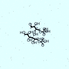 O=C(CO)[C@@H](O)[C@H](O)[C@H](O)COP(=O)(O)O.O=C[C@H](O)[C@H](O)COP(=O)(O)O